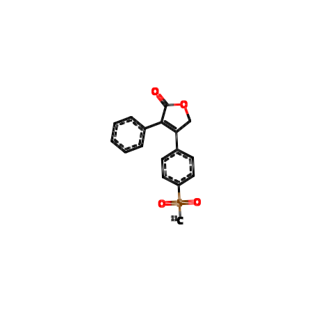 [11CH3]S(=O)(=O)c1ccc(C2=C(c3ccccc3)C(=O)OC2)cc1